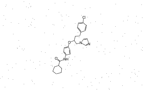 O=C(Nc1ccc(OC(CCc2ccc(Cl)cc2)Cn2ccnc2)cc1)C1CCCCC1